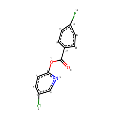 O=C(Oc1ccc(Cl)[c]n1)c1ccc(F)cc1